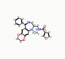 CN1c2cc3c(cc2C(c2ccccc2)=NCC1CNC(=O)c1ccoc1)OCCO3